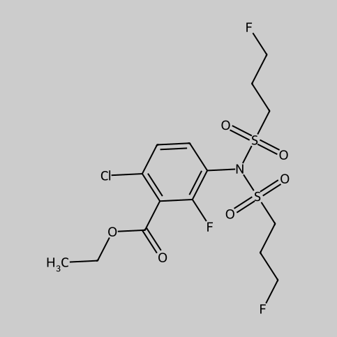 CCOC(=O)c1c(Cl)ccc(N(S(=O)(=O)CCCF)S(=O)(=O)CCCF)c1F